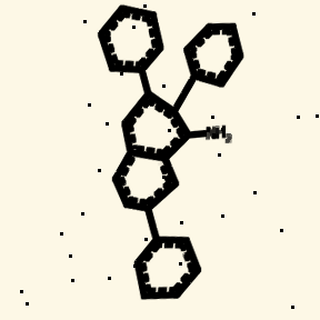 Nc1c(-c2ccccc2)c(-c2ccccc2)cc2ccc(-c3ccccc3)cc12